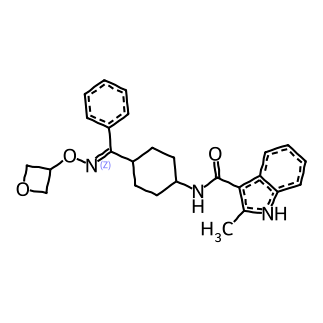 Cc1[nH]c2ccccc2c1C(=O)NC1CCC(/C(=N/OC2COC2)c2ccccc2)CC1